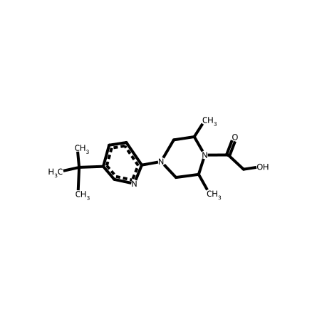 CC1CN(c2ccc(C(C)(C)C)cn2)CC(C)N1C(=O)CO